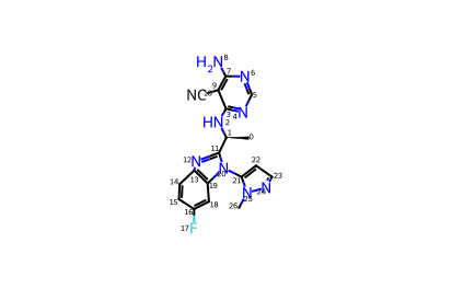 C[C@H](Nc1ncnc(N)c1C#N)c1nc2ccc(F)cc2n1-c1ccnn1C